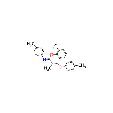 CC(=C\Oc1ccc(C)cc1)/C(=N/c1ccc(C)cc1)Oc1ccccc1C